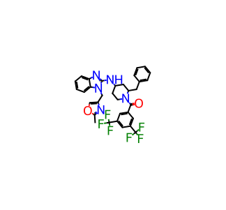 Cc1nc(Cn2c(NC3CCN(C(=O)c4cc(C(F)(F)F)cc(C(F)(F)F)c4)C(Cc4ccccc4)C3)nc3ccccc32)co1